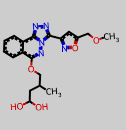 COCc1cc(-c2nnc3c4ccccc4c(OCC(C)CC(O)O)nn23)no1